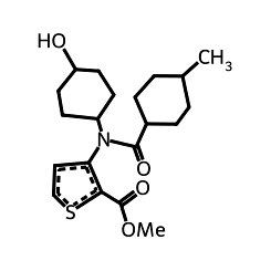 COC(=O)c1sccc1N(C(=O)C1CCC(C)CC1)C1CCC(O)CC1